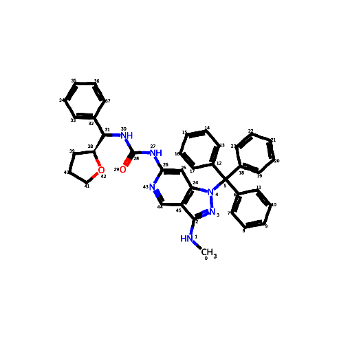 CNc1nn(C(c2ccccc2)(c2ccccc2)c2ccccc2)c2cc(NC(=O)NC(c3ccccc3)[C@@H]3CCCO3)ncc12